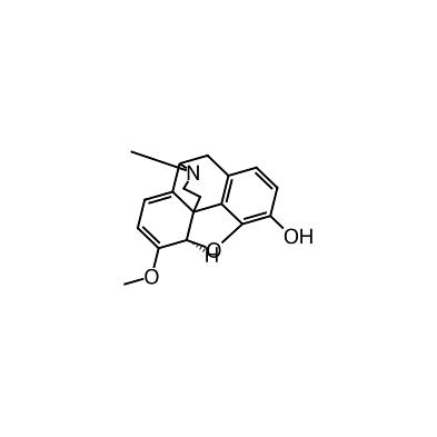 COC1=CC=C2C3Cc4ccc(O)c5c4C2(CCN3C)[C@H]1O5